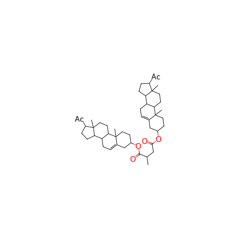 CC(=O)C1CCC2C3CC=C4CC(OC(=O)CC(C)C(=O)OC5CCC6(C)C(=CCC7C6CCC6(C)C(C(C)=O)CCC76)C5)CCC4(C)C3CCC12C